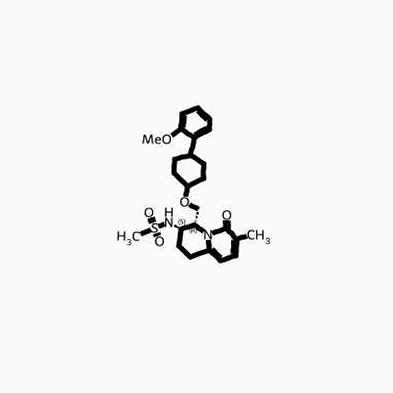 COc1ccccc1C1CCC(OC[C@H]2[C@@H](NS(C)(=O)=O)CCc3ccc(C)c(=O)n32)CC1